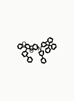 c1ccc(-c2ccc(N(c3ccc4c(c3)C(c3ccccc3)(c3ccccc3)c3ccccc3-4)c3ccc4c(c3)oc3c(-c5cccc(-c6ccccc6)c5)c5c(cc34)oc3ccccc35)cc2)cc1